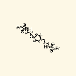 CC(C)S(=O)(=O)NCCCc1ccc(OCCNS(=O)(=O)C(C)C)cc1